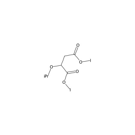 CC(C)OC(CC(=O)OI)C(=O)OI